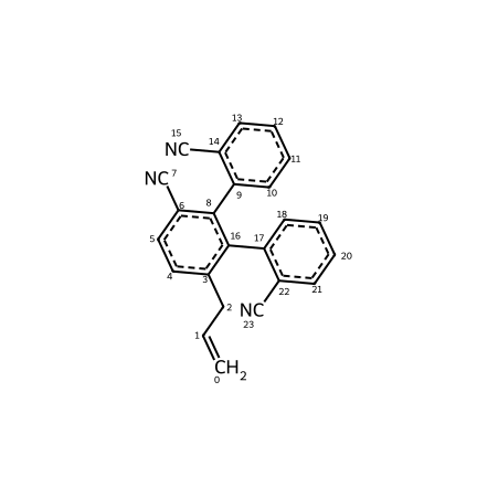 C=CCc1ccc(C#N)c(-c2ccccc2C#N)c1-c1ccccc1C#N